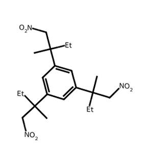 CCC(C)(C[N+](=O)[O-])c1cc(C(C)(CC)C[N+](=O)[O-])cc(C(C)(CC)C[N+](=O)[O-])c1